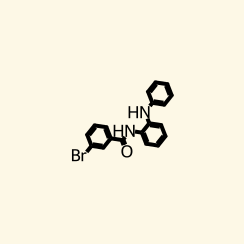 O=C(Nc1ccccc1Nc1ccccc1)c1cccc(Br)c1